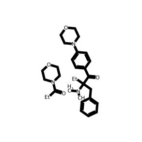 CCC(=O)N1CCOCC1.CCC(Cc1ccccc1)(C(=O)c1ccc(N2CCOCC2)cc1)N(C)C